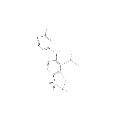 N#Cc1cccc(Oc2ccc3c(c2C(F)F)CC(F)(F)S3(=O)=O)c1